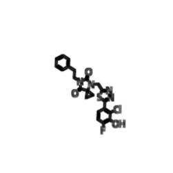 O=C1N(CCc2ccccc2)C(=O)C2(CC2)N1Cc1nnc(-c2ccc(F)c(O)c2Cl)s1